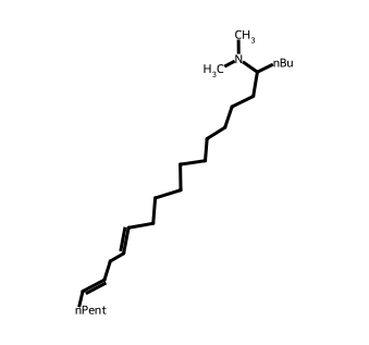 CCCCCC=CCC=CCCCCCCCCCC(CCCC)N(C)C